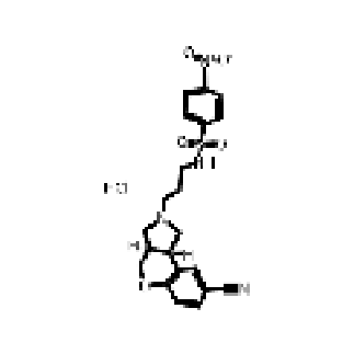 Cl.N#Cc1ccc2c(c1)[C@H]1CN(CCCNS(=O)(=O)c3ccc([N+](=O)[O-])cc3)C[C@@H]1CO2